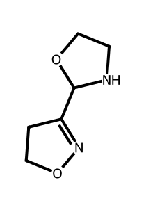 C1CO[C](C2=NOCC2)N1